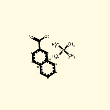 C[N+](C)(C)C.O=C([O-])c1ccc2ccccc2c1